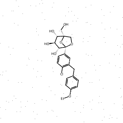 CCOc1ccc(Cc2cc([C@@]34OC[C@@](CO)(O3)[C@@H](O)[C@H](O)[C@H]4O)ccc2Cl)cc1